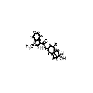 Cn1cc(C(=O)NC2CC3CC4C[C@@H](C2)N3C[C@H]4O)c2ccccc21